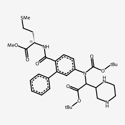 COC(=O)[C@H](CCSC)NC(=O)c1ccc(N(C(=O)OC(C)(C)C)C(C(=O)OC(C)(C)C)C2CNCCN2)cc1-c1ccccc1